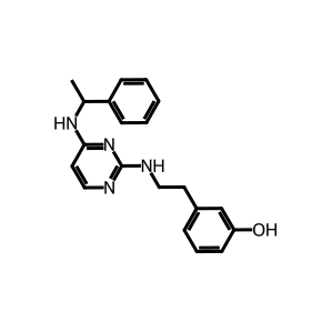 CC(Nc1ccnc(NCCc2cccc(O)c2)n1)c1ccccc1